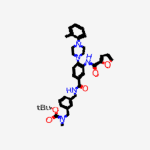 Cc1ccccc1N1CCN(c2ccc(C(=O)NCc3cccc(CN(C)C(=O)OC(C)(C)C)c3)cc2NC(=O)c2ccco2)CC1